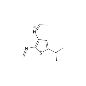 C=Nc1sc(C(C)C)cc1/N=C\C